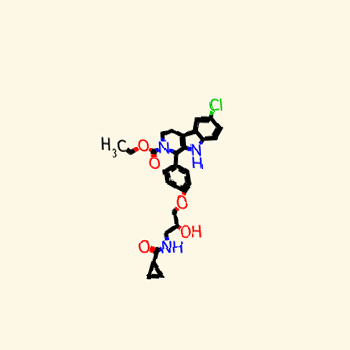 CCOC(=O)N1CCC2=C(NC3C=CC(Cl)=CC23)C1c1ccc(OCC(O)CNC(=O)C2CC2)cc1